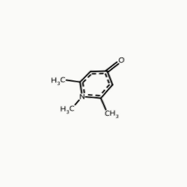 Cc1cc(=O)cc(C)n1C